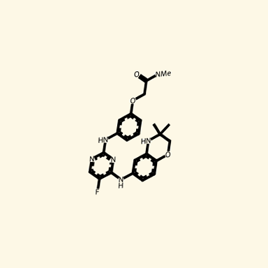 CNC(=O)COc1cccc(Nc2ncc(F)c(Nc3ccc4c(c3)NC(C)(C)CO4)n2)c1